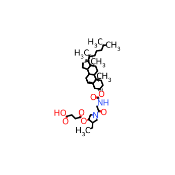 CCC1CN(C(=O)CNC(=O)O[C@H]2CC[C@@]3(C)C(=CCC4C3CC[C@@]3(C)C4CC[C@@H]3[C@H](C)CCCC(C)C)C2)CC1OC(=O)CCC(=O)O